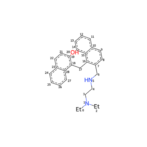 CCN(CC)CCNCc1ccc2ccccc2c1Cc1c(O)ccc2ccccc12